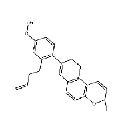 C=CCCc1cc(OCCC)ccc1C1=Cc2ccc3c(c2CC1)C=CC(C)(C)O3